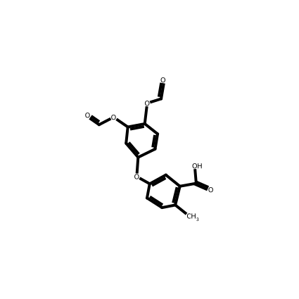 Cc1ccc(Oc2ccc(OC=O)c(OC=O)c2)cc1C(=O)O